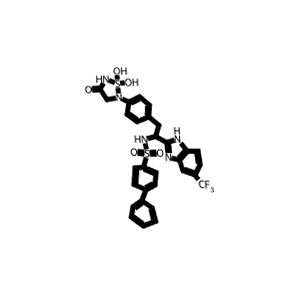 O=C1CN(c2ccc(CC(NS(=O)(=O)c3ccc(-c4ccccc4)cc3)c3nc4cc(C(F)(F)F)ccc4[nH]3)cc2)S(O)(O)N1